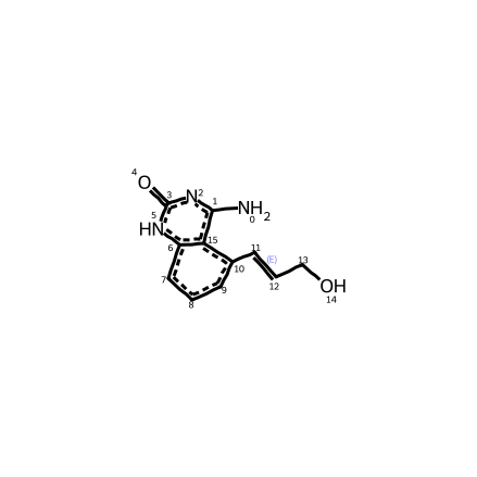 Nc1nc(=O)[nH]c2cccc(/C=C/CO)c12